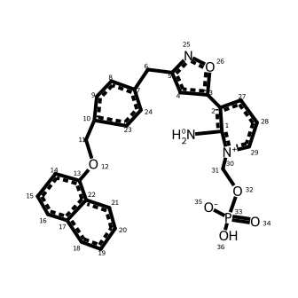 Nc1c(-c2cc(Cc3ccc(COc4cccc5ccccc45)cc3)no2)ccc[n+]1COP(=O)([O-])O